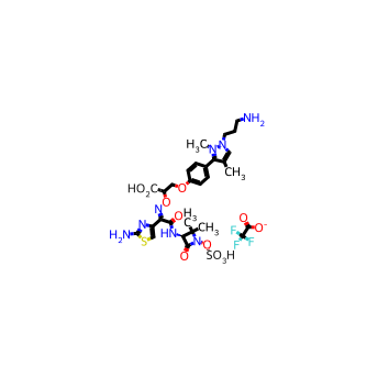 Cc1cn(CCCN)[n+](C)c1-c1ccc(OCC(O/N=C(\C(=O)N[C@@H]2C(=O)N(OS(=O)(=O)O)C2(C)C)c2csc(N)n2)C(=O)O)cc1.O=C([O-])C(F)(F)F